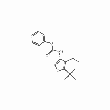 CCc1c(NC(=O)Oc2ccccc2)noc1C(C)(C)C